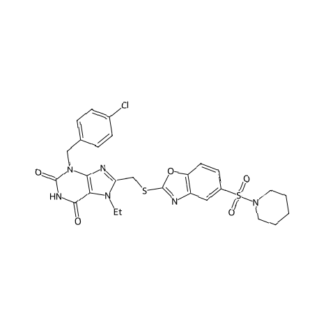 CCn1c(CSc2nc3cc(S(=O)(=O)N4CCCCC4)ccc3o2)nc2c1c(=O)[nH]c(=O)n2Cc1ccc(Cl)cc1